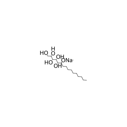 CCCCCCCCCCC(=O)[C@H](O)[C@@H](O)[C@H](O)[C@H](O)CO.[Na]